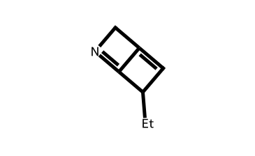 CCC1C=C2CN=C21